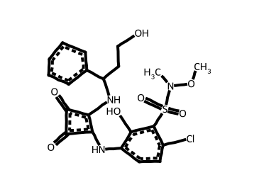 CON(C)S(=O)(=O)c1c(Cl)ccc(Nc2c(NC(CCO)c3ccccc3)c(=O)c2=O)c1O